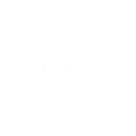 C=C(C)C1=C(N(C)C)OCCN1C(=O)OC(C)(C)C